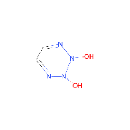 ON1N=CC=NN1O